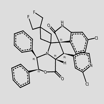 O=C1O[C@@H](c2ccccc2)[C@@H](c2ccccc2)N2[C@@H]1[C@H](c1ccnc(Cl)c1)[C@@]1(C(=O)Nc3cc(Cl)ccc31)C21CC(CF)(CF)C1